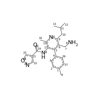 Cc1ccc(-c2c(CN)c(CC(C)C)nc(C)c2NC(=O)c2cnoc2)cc1